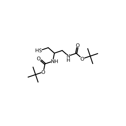 CC(C)(C)OC(=O)NCC(CS)NC(=O)OC(C)(C)C